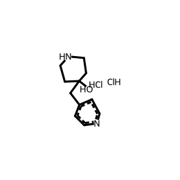 Cl.Cl.OC1(Cc2ccncc2)CCNCC1